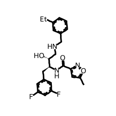 CCc1cccc(CNC[C@@H](O)[C@H](Cc2cc(F)cc(F)c2)NC(=O)c2cc(C)on2)c1